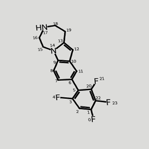 Fc1cc(F)c(-c2ccc3c(c2)cc2n3CCNCC2)c(F)c1F